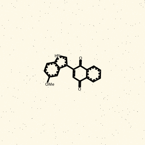 COc1ccc2[nH]cc(C3=CC(=O)c4ccccc4C3=O)c2c1